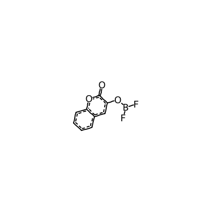 O=c1oc2ccccc2cc1OB(F)F